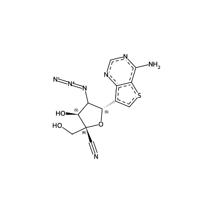 N#C[C@]1(CO)O[C@@H](c2csc3c(N)ncnc23)C(N=[N+]=[N-])[C@@H]1O